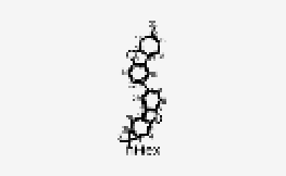 CCCCCCC1(C)c2cc3oc4ccc(-c5ccc6c(c5)C5=CC=C(C)CC5O6)cc4c3cc21